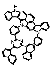 c1ccc(-n2c3ccccc3c3c4ccc5cc6[nH]c7ccccc7c6c6c5c4c(cc32)n6-c2cccc(-c3nc(-c4cccc5ccccc45)cc(-c4cccc5ccccc45)n3)c2)cc1